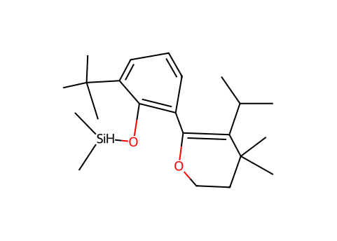 CC(C)C1=C(c2cccc(C(C)(C)C)c2O[SiH](C)C)OCCC1(C)C